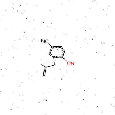 C=C(C)Cc1cc(C#N)ccc1O